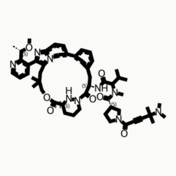 CO[C@@H](C)c1ncccc1-c1nc2ccc3cn2c1CC(C)(C)COC(=O)[C@@H]1CCCN(N1)C(=O)[C@@H](NC(=O)C(C(C)C)N(C)C(=O)[C@H]1CCN(C(=O)C#CC(C)(C)N(C)C)C1)Cc1cccc-3c1